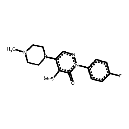 CSc1c(N2CCN(C)CC2)cnn(-c2ccc(F)cc2)c1=O